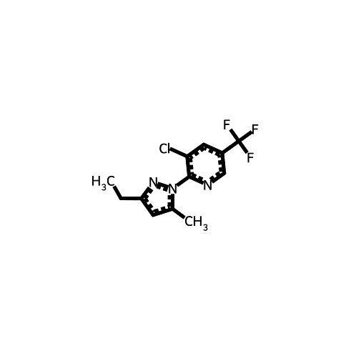 CCc1cc(C)n(-c2ncc(C(F)(F)F)cc2Cl)n1